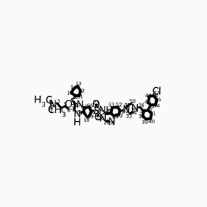 CN(C)CCCC[C@H](CSc1ccccc1)Nc1ccc(S(=O)(=O)Nc2ncnc3cc(N4CCN(Cc5ccccc5-c5ccc(Cl)cc5)CC4)ccc23)cc1[N+](=O)[O-]